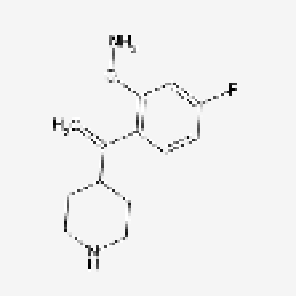 C=C(c1ccc(F)cc1ON)C1CCNCC1